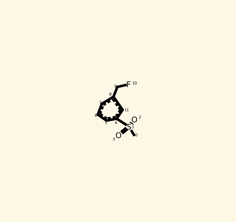 CS(=O)(=O)c1cccc(CF)c1